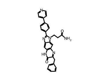 NC(=O)CCn1c(-c2ccc(-c3ccncc3)cc2)nc2cc3[nH]c(=O)c(Cc4ccccc4)nc3cc21